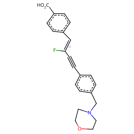 O=C(O)c1ccc(/C=C(\F)C#Cc2ccc(CN3CCOCC3)cc2)cc1